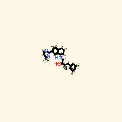 CC(=O)N[C@@H](Cc1cc(F)cc(F)c1)[C@@H](O)CNC1CCCc2ccc(-c3nccc(C(F)(F)F)n3)cc21